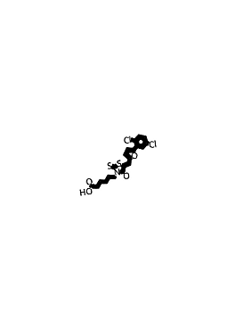 O=C(O)CCCCCN1C(=O)C(=Cc2ccc(-c3cc(Cl)ccc3Cl)o2)SC1=S